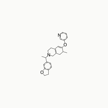 CC1CC2=C(C=C1Oc1cccnc1)CCN(C(C)c1ccc3c(c1)OCC3)C2